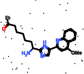 CCC(=O)CCCCC[C@H](N)c1ncc(-c2cc(OC)c3ccccc3n2)[nH]1